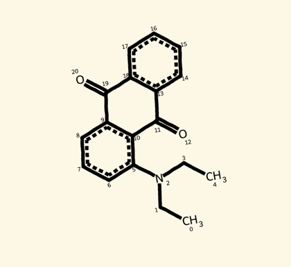 CCN(CC)c1cccc2c1C(=O)c1ccccc1C2=O